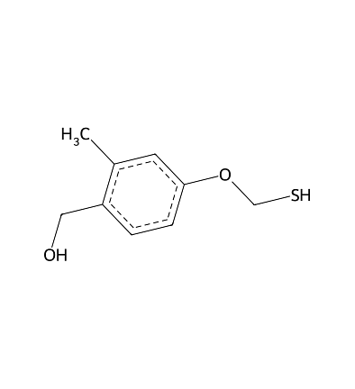 Cc1cc(OCS)ccc1CO